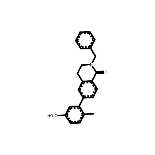 Cc1ccc(C(=O)O)cc1-c1ccc2c(c1)CCN(Cc1ccccc1)C2=O